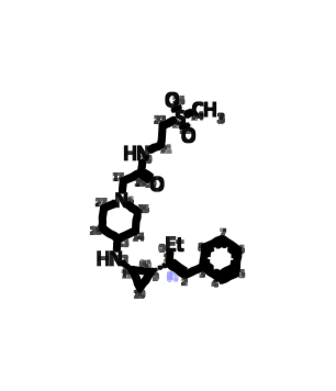 CC/C(=C\c1c#cccc1)[C@@H]1C[C@H]1NC1CCN(CC(=O)NCCS(C)(=O)=O)CC1